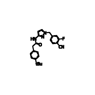 CC(C)(C)c1ccc(CC(=O)Nc2ccn(Cc3ccc(C#N)c(F)c3)n2)cc1